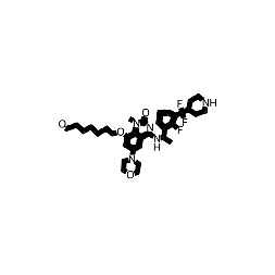 CC(Nc1nc(=O)n(C)c2c(OCCCCCCC=O)cc(N3CCOCC3)cc12)c1cccc(C(F)(F)C2CCNCC2)c1F